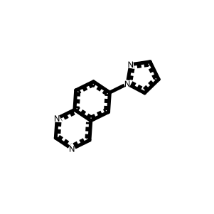 c1cnn(-c2ccc3ncncc3c2)c1